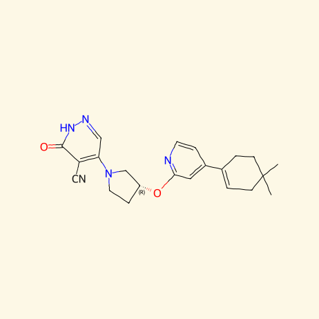 CC1(C)CC=C(c2ccnc(O[C@@H]3CCN(c4cn[nH]c(=O)c4C#N)C3)c2)CC1